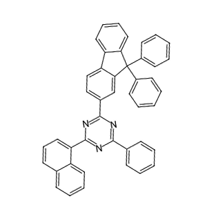 c1ccc(-c2nc(-c3ccc4c(c3)C(c3ccccc3)(c3ccccc3)c3ccccc3-4)nc(-c3cccc4ccccc34)n2)cc1